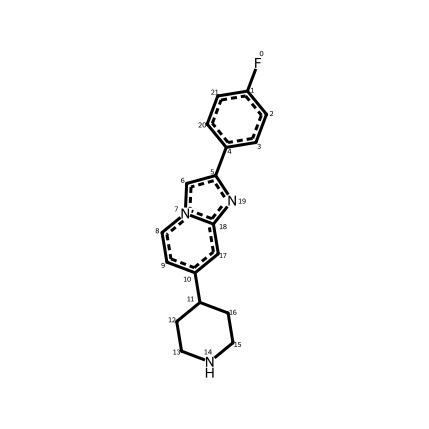 Fc1ccc(-c2cn3ccc(C4CCNCC4)cc3n2)cc1